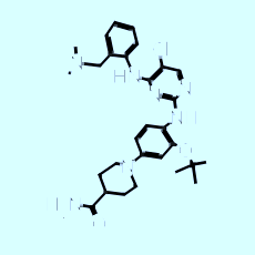 CN(C)Cc1ccccc1Nc1nc(Nc2ccc(N3CCC(C(N)=O)CC3)cc2OC(C)(C)C)ncc1Cl